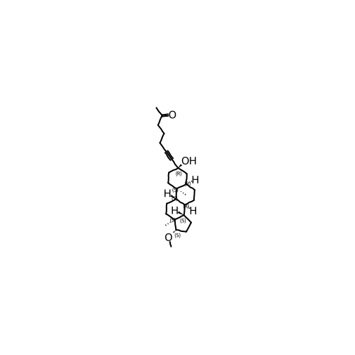 CO[C@H]1CC[C@H]2[C@@H]3CC[C@@H]4C[C@@](O)(C#CCCCC(C)=O)CC[C@]4(C)[C@H]3CC[C@]12C